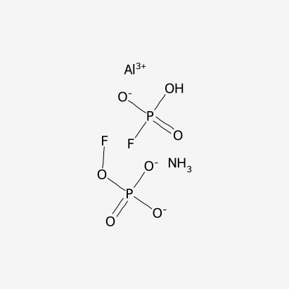 N.O=P([O-])(O)F.O=P([O-])([O-])OF.[Al+3]